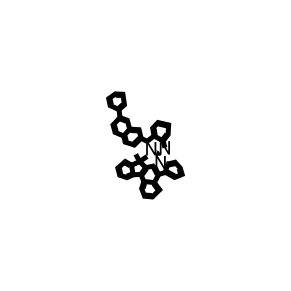 CC1(C)c2ccccc2-c2c1c1c(c3ccccc23)c2ccccc2n1-c1nc(-c2ccc3ccc(-c4ccccc4)cc3c2)c2ccccc2n1